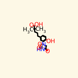 CC(C)(CCCc1ccc(O)c(N2CC(=O)NS2(=O)=O)c1)C(=O)O